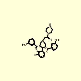 Cc1c(F)cccc1C1[C@@H](C(=O)c2cccc(O)c2)CN(CC(=O)N2CCN(C)CC2)C[C@@H]1C(=O)c1cccc(O)c1